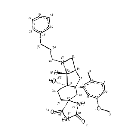 COc1ccc(C)c([C@]23CC4CN(CCCc5ccccc5)[C@H]4[C@]2(O)CC[C@@]2(C3)NC(=O)NC2=O)c1